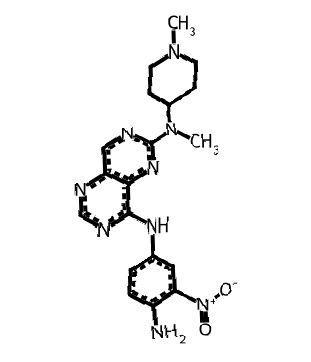 CN1CCC(N(C)c2ncc3ncnc(Nc4ccc(N)c([N+](=O)[O-])c4)c3n2)CC1